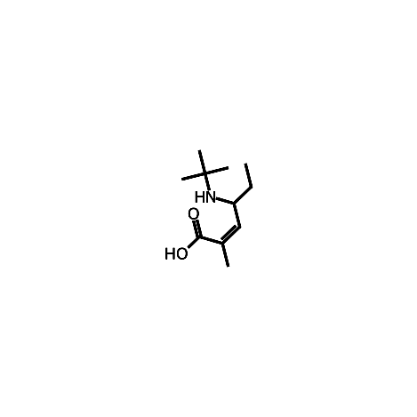 CCC(C=C(C)C(=O)O)NC(C)(C)C